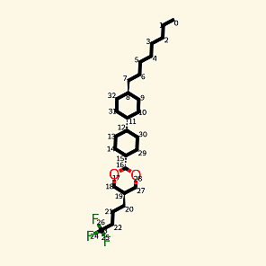 CCCCCCCC[C@H]1CC[C@H](C2CCC([C@H]3OC[C@H](CCCC(F)(F)F)CO3)CC2)CC1